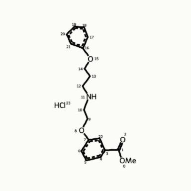 COC(=O)c1cccc(OCCNCCCOc2ccccc2)c1.Cl